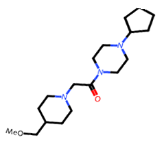 COCC1CCN(CC(=O)N2CCN(C3CCCC3)CC2)CC1